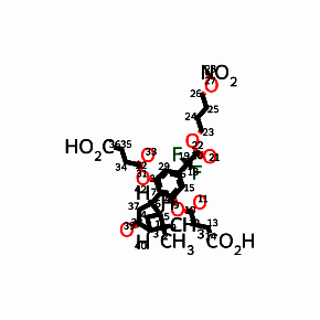 CC1(C)[C@@H]2C[C@H]1[C@@H](c1c(OC(=O)CCC(=O)O)cc(C(F)(F)C(=O)OCCCCO[N+](=O)[O-])cc1OC(=O)CCC(=O)O)CC2=O